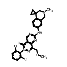 COCc1nn(-c2c(Cl)cccc2Cl)c(=O)c2cnc(Nc3ccc4c(c3)CN(C)CC43CC3)nc12